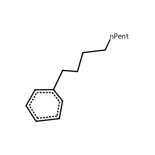 CCC[CH]CCCCCc1ccccc1